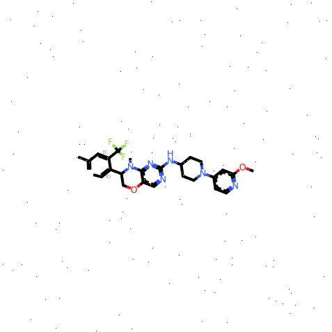 C=C(C)/C=C(\C(=C/C)C1COc2cnc(NC3CCN(c4ccnc(OC)c4)CC3)nc2N1C)C(F)(F)F